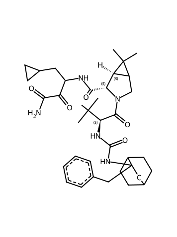 CC(C)(C)[C@H](NC(=O)NC1(Cc2ccccc2)CC2CCC1CC2)C(=O)N1CC2[C@@H]([C@H]1C(=O)NC(CC1CC1)C(=O)C(N)=O)C2(C)C